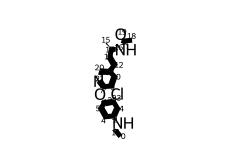 CCNc1ccc(Oc2ccc(/C=C/[C@H](C)NC(C)=O)cn2)c(Cl)c1